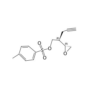 C#CC[C@H](COS(=O)(=O)c1ccc(C)cc1)[C@@H]1CO1